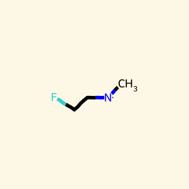 C[N]CCF